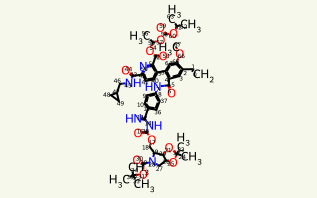 C=Cc1cc(C(=O)Nc2ccc(C(=N)NC(=O)OCC3C4OC(C)(C)OC4CN3C(=O)OC(C)(C)C)cc2)c(-c2ccc(C(=O)NCC3CC3)nc2C(=O)OC(C)OC(=O)OC(C)C)cc1OC